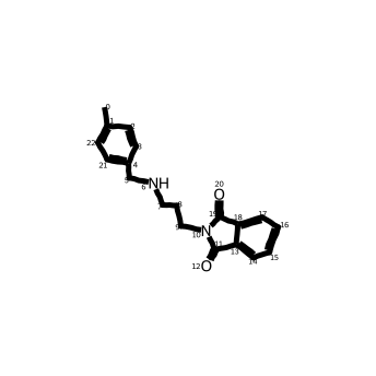 Cc1ccc(CNCCCN2C(=O)c3ccccc3C2=O)cc1